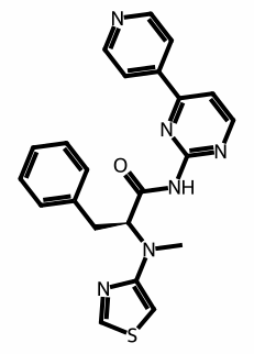 CN(c1cscn1)[C@@H](Cc1ccccc1)C(=O)Nc1nccc(-c2ccncc2)n1